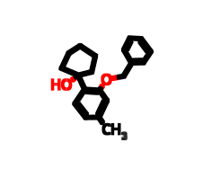 Cc1ccc(C2(O)CCCCC2)c(OCc2ccccc2)c1